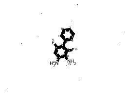 Nc1cc(F)c(-c2ccccc2)c(F)c1N